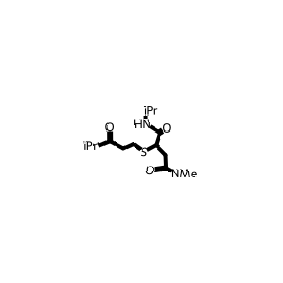 CNC(=O)CC(SCCC(=O)C(C)C)C(=O)NC(C)C